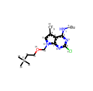 CC[C@H](C)Nc1nc(Cl)nc2c1c(C(F)(F)F)cn2COCC[Si](C)(C)C